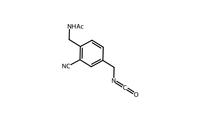 CC(=O)NCc1ccc(CN=C=O)cc1C#N